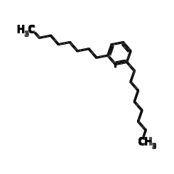 CCCCCCCCc1[c]c(CCCCCCCC)ccc1